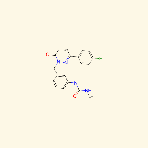 CCNC(=O)Nc1cccc(Cn2nc(-c3ccc(F)cc3)ccc2=O)c1